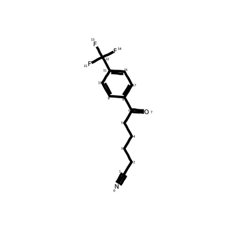 N#CCCCCC(=O)c1ccc(C(F)(F)F)cc1